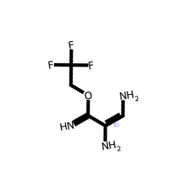 N=C(OCC(F)(F)F)/C(N)=C\N